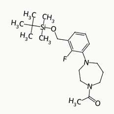 CC(=O)N1CCCN(c2cccc(CO[Si](C)(C)C(C)(C)C)c2F)CC1